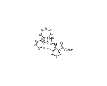 COC(=O)c1cccc(C)c1OCC[PH]1(Cc2ccccc2)CCCCCC1